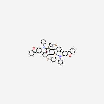 c1ccc(N(c2ccc3c(c2)oc2ccccc23)c2cc3c(s2)C2(c4ccccc4Sc4ccccc42)c2cc(N(c4ccccc4)c4ccc5c(c4)oc4ccccc45)sc2C32c3ccccc3Sc3ccccc32)cc1